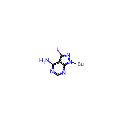 CC[C@H](C)n1nc(I)c2c(N)ncnc21